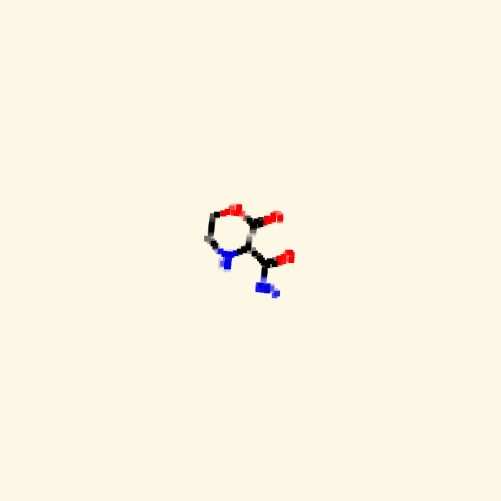 NC(=O)C1NCCOC1=O